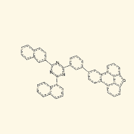 c1cc(-c2ccc3c(c2)c2cccc4oc5cccc3c5c42)cc(-c2nc(-c3ccc4ccccc4c3)nc(-c3cccc4ccccc34)n2)c1